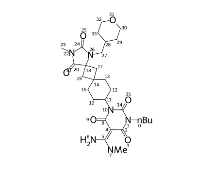 CCCCN1C(=O)/C(=C(/N)NC)C(=O)N(C2CCC3(CC2)CC2(C3)C(=O)N(C)C(=O)N2CC2CCOCC2)C1=O